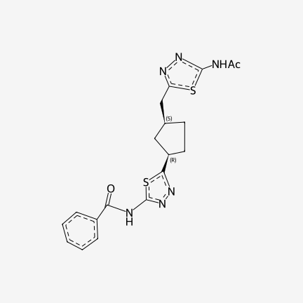 CC(=O)Nc1nnc(C[C@H]2CC[C@@H](c3nnc(NC(=O)c4ccccc4)s3)C2)s1